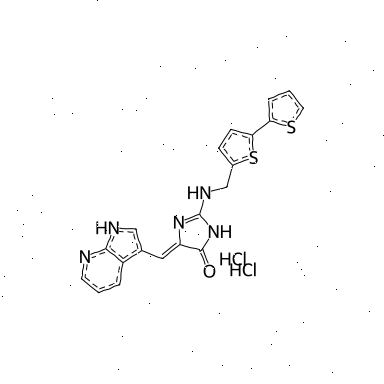 Cl.Cl.O=C1NC(NCc2ccc(-c3cccs3)s2)=N/C1=C\c1c[nH]c2ncccc12